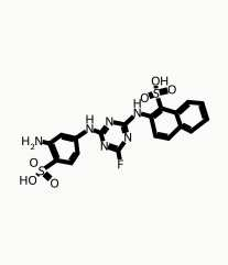 Nc1cc(Nc2nc(F)nc(Nc3ccc4ccccc4c3S(=O)(=O)O)n2)ccc1S(=O)(=O)O